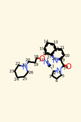 N#C[C@H]1CCCN1C(=O)c1ccc2cccc(OCCCN3CCCCC3)c2n1